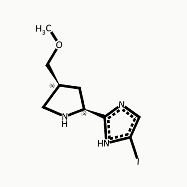 COC[C@@H]1CN[C@H](c2ncc(I)[nH]2)C1